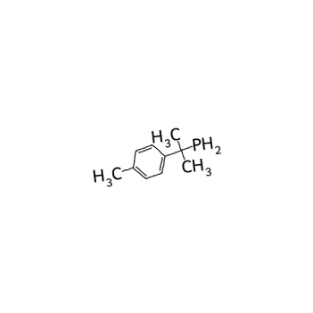 Cc1ccc(C(C)(C)P)cc1